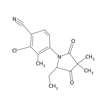 CCC1C(=O)C(C)(C)C(=O)N1c1ccc(C#N)c(Cl)c1C